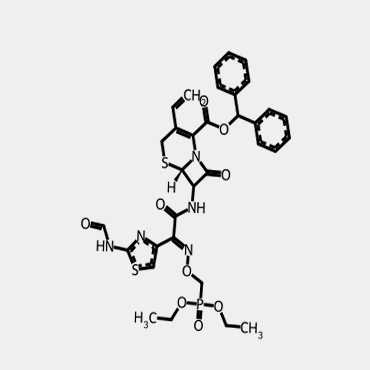 C=CC1=C(C(=O)OC(c2ccccc2)c2ccccc2)N2C(=O)C(NC(=O)C(=NOCP(=O)(OCC)OCC)c3csc(NC=O)n3)[C@@H]2SC1